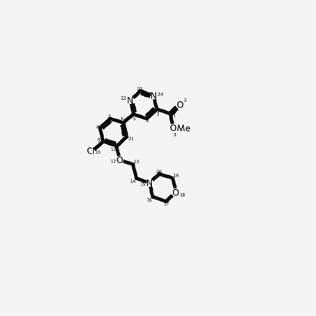 COC(=O)c1cc(-c2ccc(Cl)c(OCCN3CCOCC3)c2)ncn1